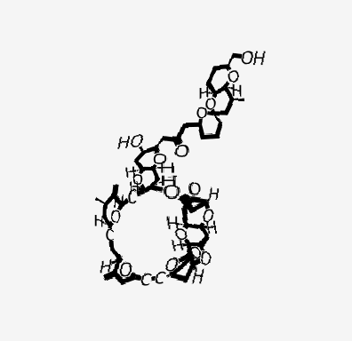 C=C1CC2CC[C@@]34C[C@H]5OC6C(O3)[C@H]3O[C@H](CC[C@@H]3O[C@H]6C5O4)CC(=O)O[C@@H]3[C@@H](C)[C@@H]4O[C@H](CC(=O)CC5CCC[C@@]6(C[C@H](C)[C@@H]7O[C@H](CO)CC[C@@H]7O6)O5)[C@H](O)C[C@@H]4O[C@H]3C[C@H]3O[C@@H](CC[C@@H]1O2)C[C@@H](C)C3=C